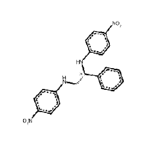 O=[N+]([O-])c1ccc(NC[C@H](Nc2ccc([N+](=O)[O-])cc2)c2ccccc2)cc1